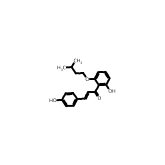 CC(C)CCOc1cccc(O)c1C(=O)/C=C/c1ccc(O)cc1